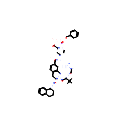 CC[C@H](C[C@H](NC(=O)OCc1ccccc1)C(=O)OC)NC(=O)c1ccc2c(c1)CN(C(=O)[C@@H](NC(=O)[C@H](C)NC)C(C)(C)C)[C@H](C(=O)N[C@@H]1CCCc3ccccc31)C2